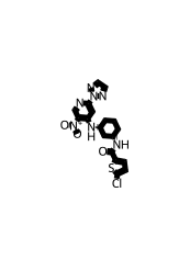 O=C(N[C@H]1CCC[C@@H](Nc2cc(-n3nccn3)ncc2[N+](=O)[O-])C1)c1ccc(Cl)s1